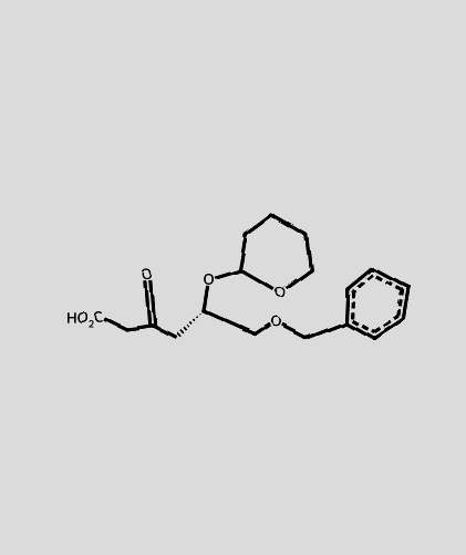 O=C(O)CC(=O)C[C@@H](COCc1ccccc1)OC1CCCCO1